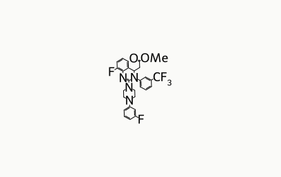 COC(=O)CC1c2cccc(F)c2N=C(N2CCN(c3cccc(F)c3)CC2)N1c1cccc(C(F)(F)F)c1